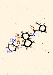 Cc1ccccc1C(=O)Nc1ccc(S(=O)(=O)NC2CCNCC2C)c2ccccc12